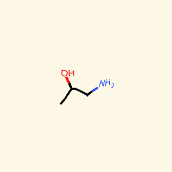 CC(O)[CH]N